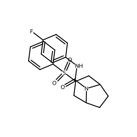 O=C(Nc1ccc(F)cc1)N1C2CCC1CC(S(=O)(=O)c1ccccc1)C2